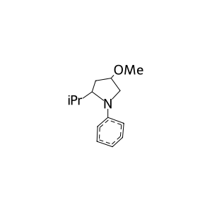 COC1CC(C(C)C)N(c2ccccc2)C1